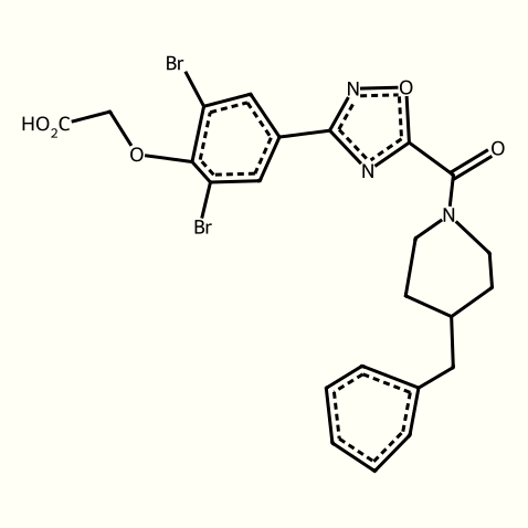 O=C(O)COc1c(Br)cc(-c2noc(C(=O)N3CCC(Cc4ccccc4)CC3)n2)cc1Br